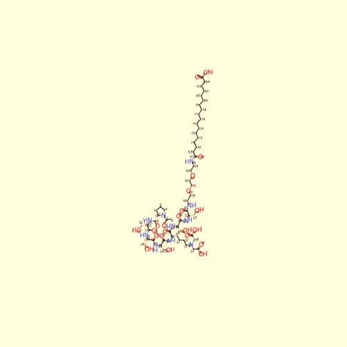 CC(=O)N1CCC[C@H]1C(=O)N[C@@H](CO)C(=O)N[C@@H](CO)C(=O)N[C@@H](CO)C(=O)N[C@@H](CCCCN(CC(=O)O)CC(=O)O)C(=O)N[C@@H](CO)C(=O)N[C@@H](CO)C(=O)NCCOCCOCCNC(=O)CCCCCCCCCCCCCCCCC(=O)O